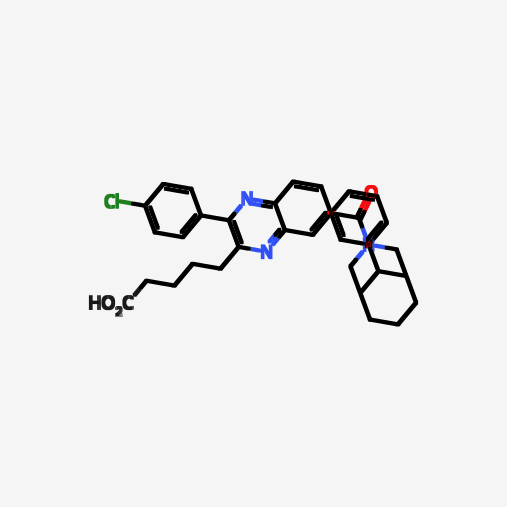 O=C(O)CCCCc1nc2cc(C(=O)N3CC4CCCC(C3)C4c3ccccc3)ccc2nc1-c1ccc(Cl)cc1